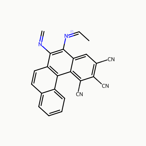 C=Nc1c(/N=C\C)c2cc(C#N)c(C#N)c(C#N)c2c2c1ccc1ccccc12